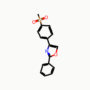 CS(=O)(=O)c1ccc(-c2coc(-c3ccccc3)n2)cc1